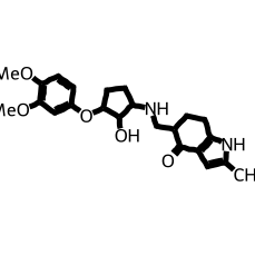 COc1ccc(OC2CCC(NCC3CCc4[nH]c(C)cc4C3=O)C2O)cc1OC